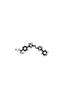 CC(O)c1ccc(-c2noc(CSc3nnc(-c4ccncc4)o3)n2)cc1